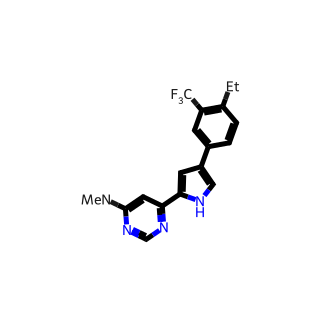 CCc1ccc(-c2c[nH]c(-c3cc(NC)ncn3)c2)cc1C(F)(F)F